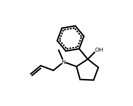 C=CCN(C)C1CCCC1(O)c1ccccc1